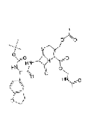 CC(=O)NCOC(=O)C1=C(COC(C)=O)CSC2C(NC(=O)C(NC(=O)OC(C)(C)C)c3ccc4c(c3)CCO4)C(=O)N12